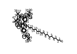 CCCCCCCCCCCCCCCCCCn1c(-c2ccc(OC(=O)C(C)(C)C)c(OC(=O)C(C)(C)C)c2)c(OC(=O)C(C)(C)C)c(=O)c2ccc(OC(=O)C(C)(C)C)cc21